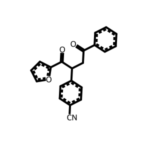 N#Cc1ccc(C(CC(=O)c2ccccc2)C(=O)c2ccco2)cc1